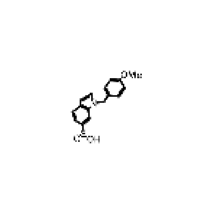 COc1ccc(Cn2ccc3ccc(S(=O)O)cc32)cc1